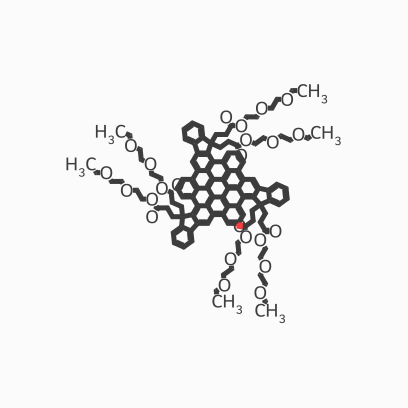 CCOCCOCCOC(=O)CCC1(CCC(=O)OCCOCCOCC)c2ccccc2-c2cc3c4cccc5c6c7c(cc8c9cccc%10c%11c%12c(cc%13c%14cccc%15c(c21)c3c1c(c45)c(c86)c(c9%10)c(c%13%11)c1c%14%15)-c1ccccc1C%12(CCC(=O)OCCOCCOCC)CCC(=O)OCCOCCOCC)-c1ccccc1C7(CCC(=O)OCCOCCOCC)CCC(=O)OCCOCCOCC